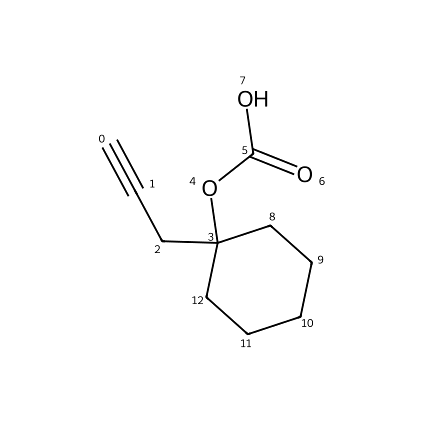 C#CCC1(OC(=O)O)CCCCC1